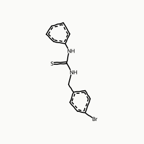 S=C(NCc1ccc(Br)cc1)Nc1ccccc1